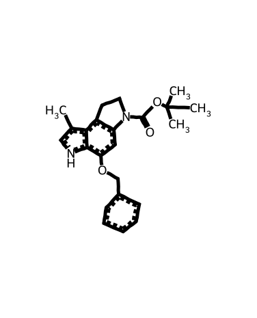 Cc1c[nH]c2c(OCc3ccccc3)cc3c(c12)CCN3C(=O)OC(C)(C)C